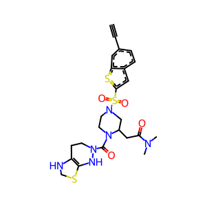 C#Cc1ccc2cc(S(=O)(=O)N3CCN(C(=O)N4CCC5=C(N4)SCN5)C(CC(=O)N(C)C)C3)sc2c1